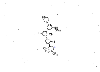 CSNc1cc(-c2cc(F)cc(-c3ccc(N(C=O)/C=C\N(C)C)c(Cl)c3)c2O)cc(N2CCNCC2)n1